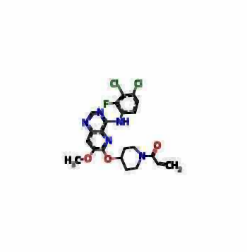 C=CC(=O)N1CCC(Oc2nc3c(Nc4ccc(Cl)c(Cl)c4F)ncnc3cc2OC)CC1